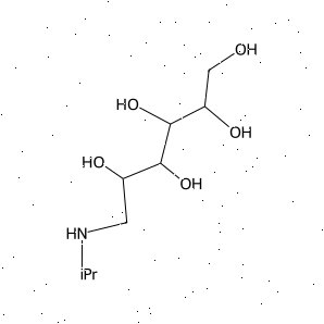 CC(C)NCC(O)C(O)C(O)C(O)CO